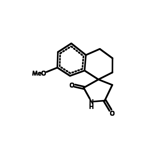 COc1ccc2c(c1)C1(CCC2)CC(=O)NC1=O